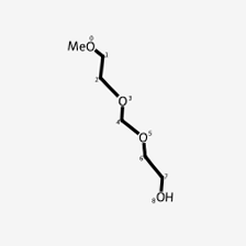 COCCOCOCCO